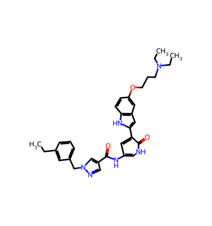 CCc1cccc(Cn2cc(C(=O)Nc3c[nH]c(=O)c(-c4cc5cc(OCCCN(CC)CC)ccc5[nH]4)c3)cn2)c1